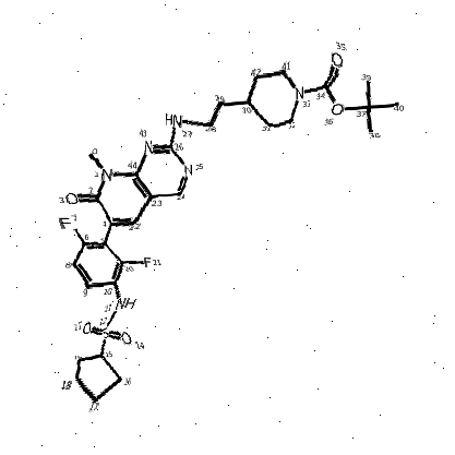 Cn1c(=O)c(-c2c(F)ccc(NS(=O)(=O)C3CCCC3)c2F)cc2cnc(NCCC3CCN(C(=O)OC(C)(C)C)CC3)nc21